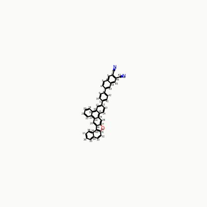 N#Cc1cc2ccc(-c3ccc(-c4ccc5c(c4)c4ccccc4c4cc6c(cc54)oc4ccc5ccccc5c46)cc3)cc2cc1C#N